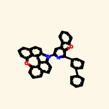 c1ccc(-c2cccc(-c3nc(-n4c5ccc6cccc7oc8cccc9ccc4c(c98)c5c67)cc4c3oc3ccccc34)c2)cc1